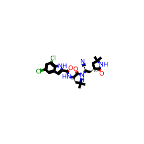 CC(C)(C)C[C@H](NC(=O)c1cc2cc(Cl)cc(Cl)c2[nH]1)C(=O)N[C@H](C#N)C[C@@H]1CC(C)(C)NC1=O